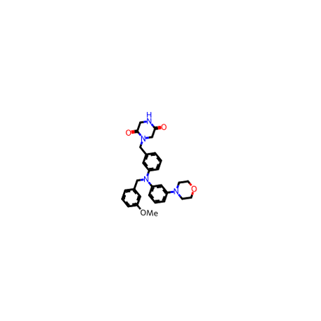 COc1cccc(CN(c2cccc(CN3CC(=O)NCC3=O)c2)c2cccc(N3CCOCC3)c2)c1